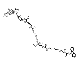 CC(C)(CCOC(=O)NCCOCCOCCNC(=O)OCC1c2ccccc2-c2ccccc21)SSCOCCCCOC(=O)NCC#CC1=CN([C@H]2CC[C@@H](COP(=O)(O)OP(=O)(O)OP(=O)(O)O)O2)CC1=O